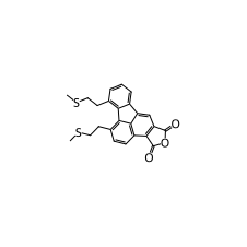 CSCCc1cccc2c1-c1c(CCSC)ccc3c4c(cc-2c13)C(=O)OC4=O